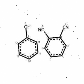 N#Cc1ccccc1C#N.Oc1ccccc1